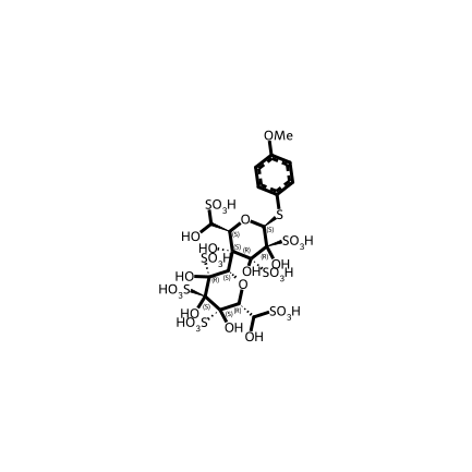 COc1ccc(S[C@@H]2O[C@H](C(O)S(=O)(=O)O)[C@](O)([C@@H]3O[C@H](C(O)S(=O)(=O)O)[C@](O)(S(=O)(=O)O)[C@@](O)(S(=O)(=O)O)[C@]3(O)S(=O)(=O)O)[C@@](O)(S(=O)(=O)O)[C@]2(O)S(=O)(=O)O)cc1